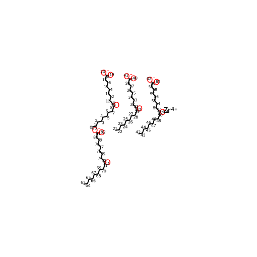 CCCCCCCCC1OC1CCCCCCCC(=O)[O-].CCCCCCCCC1OC1CCCCCCCC(=O)[O-].CCCCCCCCC1OC1CCCCCCCC(=O)[O-].CCCCCCCCC1OC1CCCCCCCC(=O)[O-].[Zr+4]